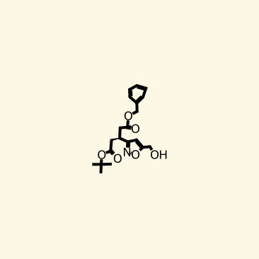 CC(C)(C)OC(=O)C[C@@H](CC(=O)OCc1ccccc1)c1cc(CO)on1